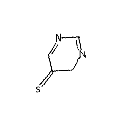 S=C1C=NC=NC1